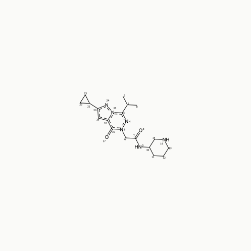 CC(C)c1nn(CC(=O)NC2CCCNC2)c(=O)c2cc(C3CC3)nn12